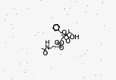 CC(=O)NCCCS(=O)(=O)OCC(C)(C)[C@@](OCc1ccccc1)(C(=O)O)C(C)C